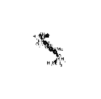 COc1cc(CCC(=O)N(C)CCCN(C)C)ccc1-c1ccc(C(=O)NS(=O)(=O)c2ccc(N[C@@H](CSc3ccccc3)CC(=O)N(C)C)c([N+](=O)[O-])c2)cc1